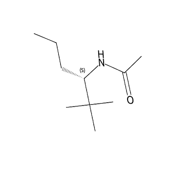 CCC[C@H](NC(C)=O)C(C)(C)C